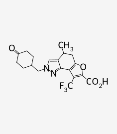 CC1Cc2oc(C(=O)O)c(C(F)(F)F)c2-c2nn(CC3CCC(=O)CC3)cc21